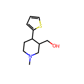 CN1CCC(c2cccs2)C(CO)C1